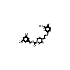 Cc1ccc(SCCN2CCN(C(=O)OCc3cc(Cl)cc(Cl)c3)CC2)cc1N